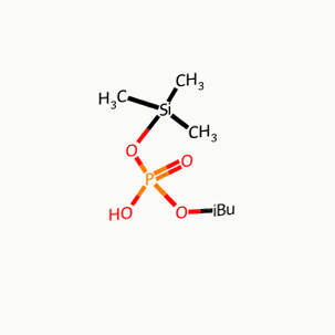 CCC(C)OP(=O)(O)O[Si](C)(C)C